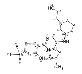 Cc1cc2c(N[C@@H]3CCCN(CCO)C3)nnc(-c3ccc(C(F)(F)F)cc3O)n2n1